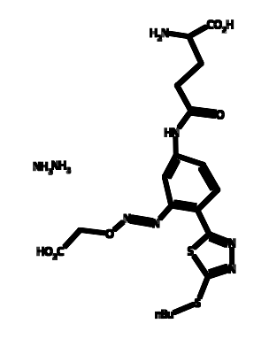 CCCCSc1nnc(-c2ccc(NC(=O)CCC(N)C(=O)O)cc2N=NOCC(=O)O)s1.N.N